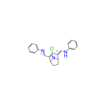 CN1C2CCC1/C(=C\Nc1ccccc1)C(Cl)=C2/C=N/c1ccccc1